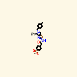 Cc1ccc(CN2Cc3sc(NC(=O)Cc4ccc(S(C)(=O)=O)cc4)nc3C2C(C)C)cc1